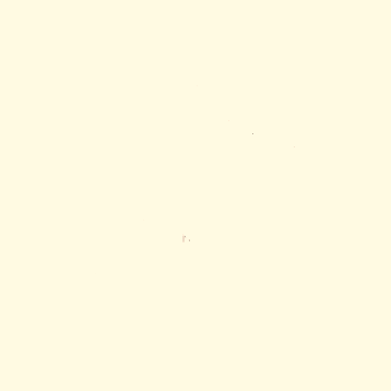 CC1(C)c2ccccc2-c2cc3c(Nc4ccccc4C4=CCCC=C4)c4ccccc4cc3cc21